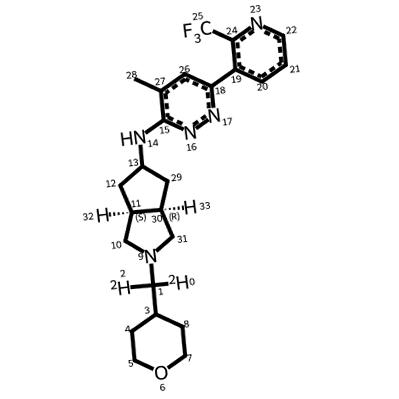 [2H]C([2H])(C1CCOCC1)N1C[C@H]2CC(Nc3nnc(-c4cccnc4C(F)(F)F)cc3C)C[C@H]2C1